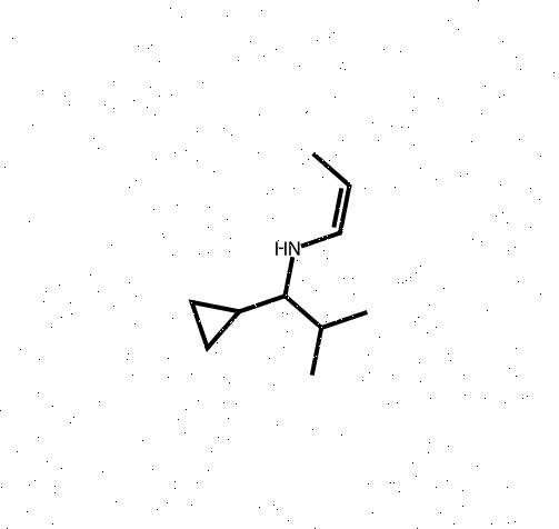 C/C=C\NC(C(C)C)C1CC1